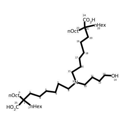 CCCCCCCCC(CCCCCC)(CCCCCCN(CCCCO)CCCCCCC(CCCCCC)(CCCCCCCC)C(=O)O)C(=O)O